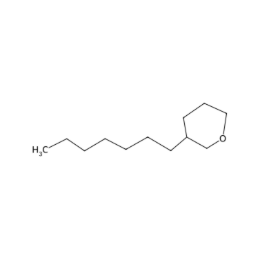 CCCCCCCC1CCCOC1